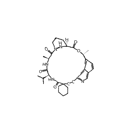 CC(C)[C@@H]1NC(=O)C2(CCCCC2)CCc2cc3cc(ccc3cn2)[C@@H](C)OC(=O)[C@@H]2CCCN(N2)C(=O)[C@H](C)NC1=O